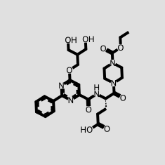 CCOC(=O)N1CCN(C(=O)[C@H](CCC(=O)O)NC(=O)c2cc(OCC(CO)CO)nc(-c3ccccc3)n2)CC1